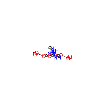 C=CC(=O)OCCCCCCOc1ccc(C(=N)Oc2ccc(OC(=N)c3ccc(OCCCCCCOC(=O)C=C)cc3)c(/C=N/Nc3nc4ccccc4s3)c2)cc1